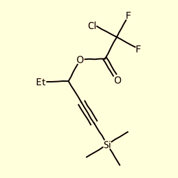 CCC(C#C[Si](C)(C)C)OC(=O)C(F)(F)Cl